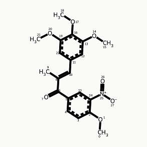 COc1ccc(C(=O)C(C)=Cc2cc(OC)c(OC)c(OC)c2)cc1[N+](=O)[O-]